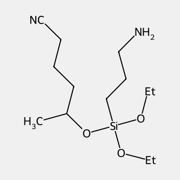 CCO[Si](CCCN)(OCC)OC(C)CCCC#N